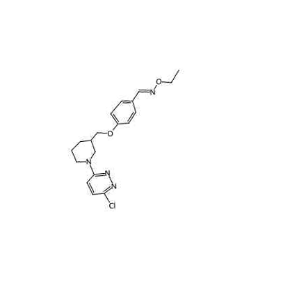 CCON=Cc1ccc(OCC2CCCN(c3ccc(Cl)nn3)C2)cc1